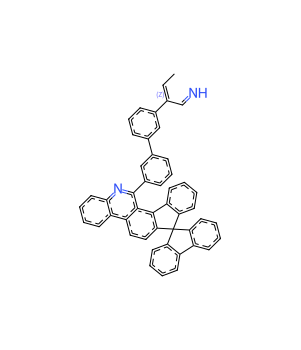 C/C=C(\C=N)c1cccc(-c2cccc(-c3nc4ccccc4c4ccc5c(c34)-c3ccccc3C53c4ccccc4-c4ccccc43)c2)c1